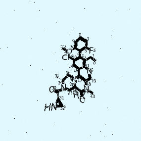 CCc1c(-c2c(F)cccc2OC)c(Cl)cc2c3c(cnc12)N(C)C(=O)[C@H]1CN(C(=O)[C@H]2CN2)[C@H](C)CN31